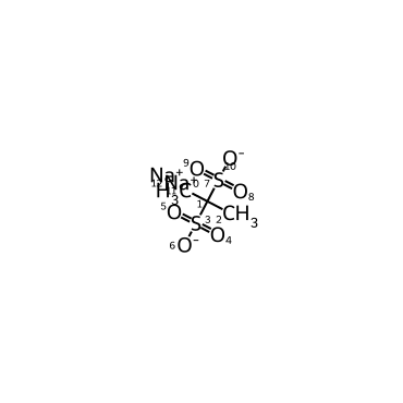 CC(C)(S(=O)(=O)[O-])S(=O)(=O)[O-].[Na+].[Na+]